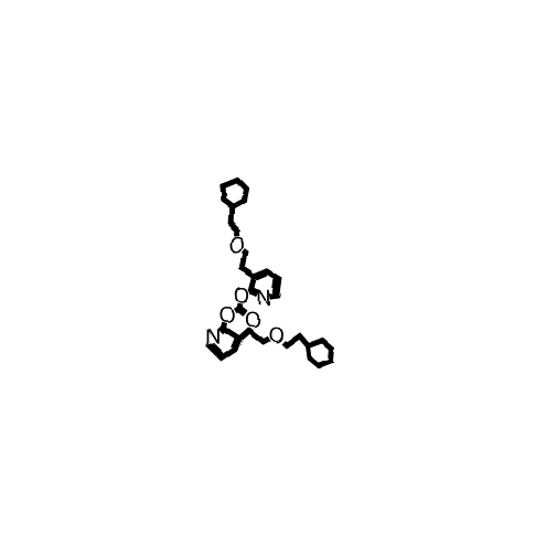 O=C(Oc1ncccc1CCOCCC1CCCCC1)Oc1ncccc1CCOCCC1CCCCC1